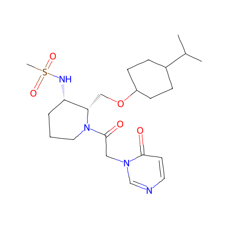 CC(C)C1CCC(OC[C@H]2[C@@H](NS(C)(=O)=O)CCCN2C(=O)Cn2cnccc2=O)CC1